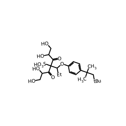 CCC(Oc1ccc(C(C)(C)CC(C)(C)C)cc1)C(C(=O)C(O)CO)(C(=O)C(O)CO)S(=O)(=O)O